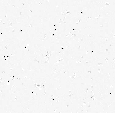 COc1cccc(C(=O)O[C@@H]2Cc3ccccc3[C@H]2Oc2c(C)ccn3c(C=O)cnc23)c1